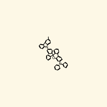 Cc1ccc2c(c1)c1ccccc1n2-c1ccc(C2(c3ccccc3)Oc3cc(N(c4ccccc4)c4ccccc4)ccc3-c3ccccc32)cc1